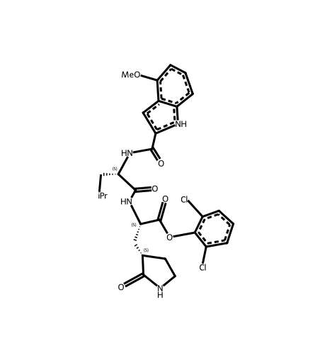 COc1cccc2[nH]c(C(=O)N[C@@H](CC(C)C)C(=O)N[C@@H](C[C@@H]3CCNC3=O)C(=O)Oc3c(Cl)cccc3Cl)cc12